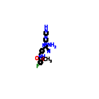 COc1ccc(F)cc1C(=O)NCc1ccc(-c2nn(C3CCN(C4CCNCC4)CC3)c(N)c2C#N)cc1